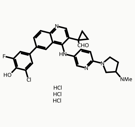 CNC1CCN(c2ccc(Nc3c(C4(C=O)CC4)cnc4ccc(-c5cc(F)c(O)c(Cl)c5)cc34)cn2)C1.Cl.Cl.Cl